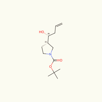 C=CC[C@@H](O)[C@H]1CCN(C(=O)OC(C)(C)C)C1